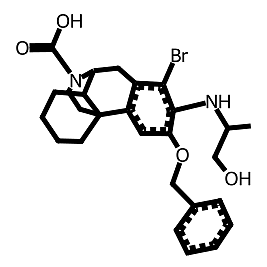 CC(CO)Nc1c(OCc2ccccc2)cc2c(c1Br)CC1C3CCCCC23CCN1C(=O)O